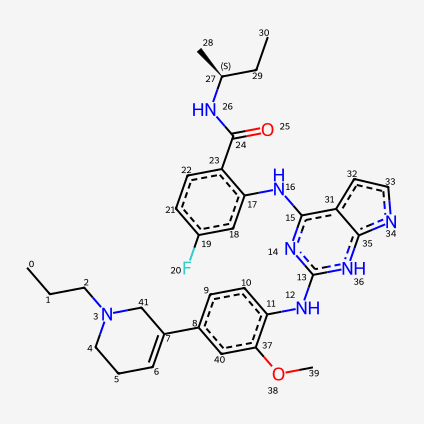 CCCN1CCC=C(c2ccc(Nc3nc(Nc4cc(F)ccc4C(=O)N[C@@H](C)CC)c4ccnc-4[nH]3)c(OC)c2)C1